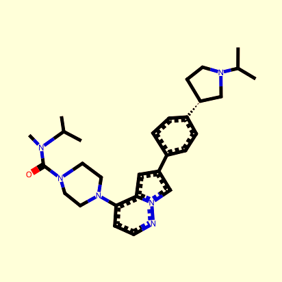 CC(C)N1CC[C@@H](c2ccc(-c3cc4c(N5CCN(C(=O)N(C)C(C)C)CC5)ccnn4c3)cc2)C1